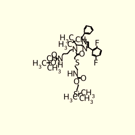 CC(C)(C)OC(=O)NCCCN(C(=O)CSCCNC(=O)OCC[Si](C)(C)C)C(c1nc(-c2cc(F)ccc2F)cn1Cc1ccccc1)C(C)(C)C